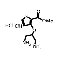 COC(=O)c1sccc1OC(CN)CN.Cl.Cl